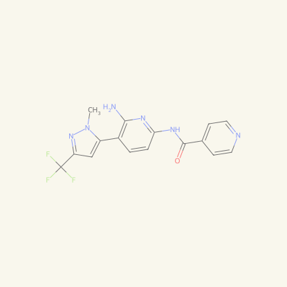 Cn1nc(C(F)(F)F)cc1-c1ccc(NC(=O)c2ccncc2)nc1N